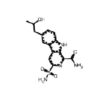 CC(O)Cc1ccc2[nH]c3c(C(N)=O)nc(S(N)(=O)=O)cc3c2c1